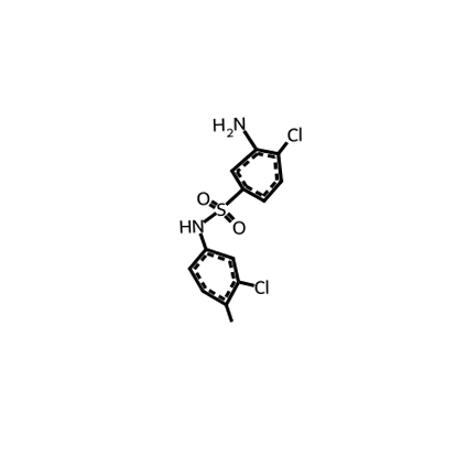 Cc1ccc(NS(=O)(=O)c2ccc(Cl)c(N)c2)cc1Cl